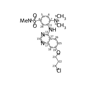 CNS(=O)(=O)c1ccc(N(C)C)c(Nc2ncnc3cc(OCCCCl)ccc23)c1